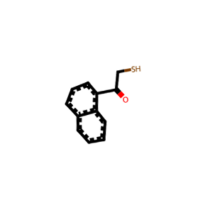 O=C(CS)c1cccc2ccccc12